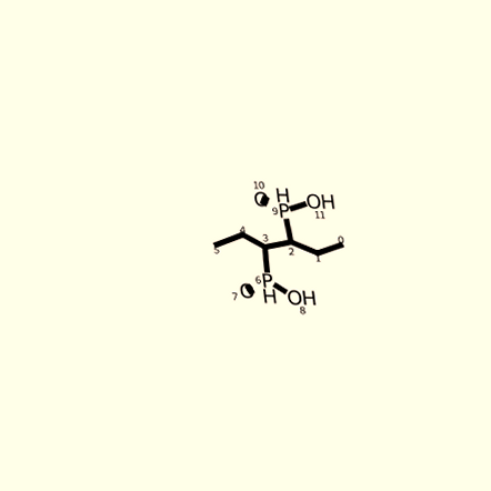 CCC(C(CC)[PH](=O)O)[PH](=O)O